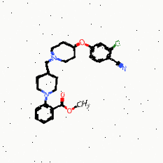 COC(=O)c1ccccc1N1CCC(CN2CCC(Oc3ccc(C#N)c(Cl)c3)CC2)CC1